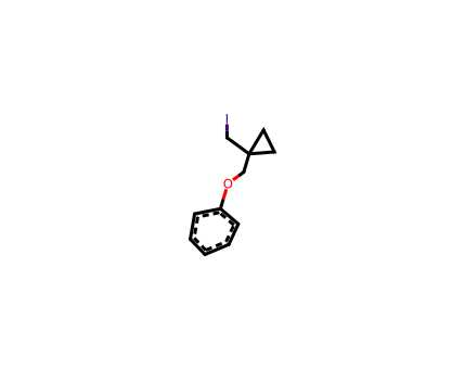 ICC1(COc2ccccc2)CC1